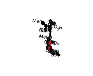 C=CCOC(=O)NC(C(=O)NC(C)C(=O)Nc1ccc(COC(=O)Nc2cc(OCCCCCOc3cc(N(CC4c5ccccc5-c5ccccc54)C(=O)O)c(C(=O)N4C=C(c5ccc(OC)cc5)CC4CO[Si](C)(C)C(C)(C)C)cc3OC)c(OC)cc2C(=O)N2C=C(c3ccc(OC)cc3)CC2CO[Si](C)(C)C(C)(C)C)cc1)C(C)C